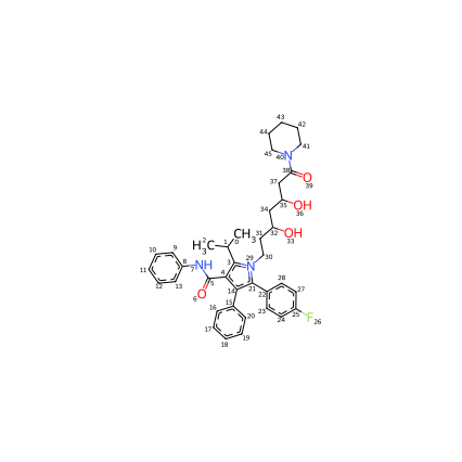 CC(C)c1c(C(=O)Nc2ccccc2)c(-c2ccccc2)c(-c2ccc(F)cc2)n1CCC(O)CC(O)CC(=O)N1CCCCC1